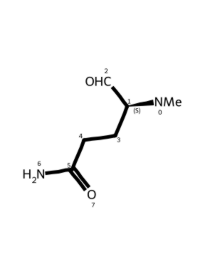 CN[C@H](C=O)CCC(N)=O